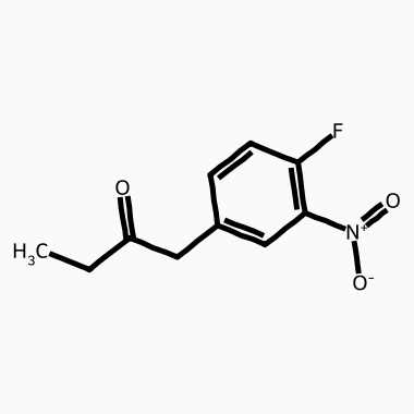 CCC(=O)Cc1ccc(F)c([N+](=O)[O-])c1